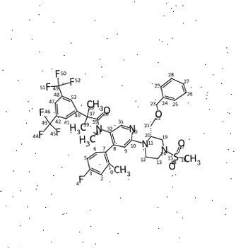 Cc1cc(F)ccc1-c1cc(N2CCN(S(C)(=O)=O)C[C@H]2COCc2ccccc2)ncc1N(C)C(=O)C(C)(C)c1cc(C(F)(F)F)cc(C(F)(F)F)c1